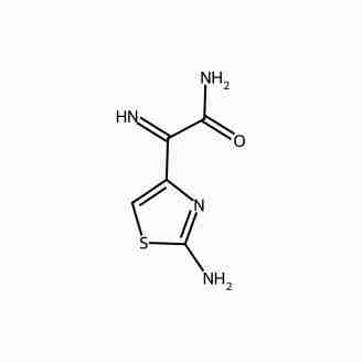 N=C(C(N)=O)c1csc(N)n1